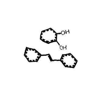 C(=Cc1ccccc1)c1ccccc1.Oc1ccccc1O